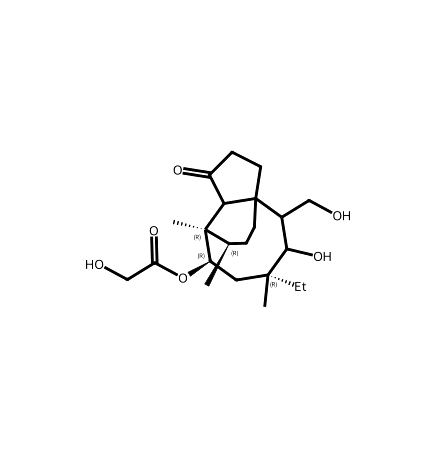 CC[C@]1(C)C[C@@H](OC(=O)CO)[C@@]2(C)C3C(=O)CCC3(CC[C@H]2C)C(CO)C1O